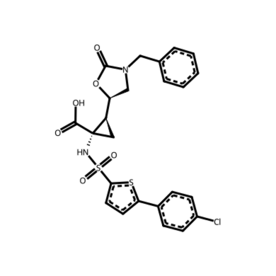 O=C1O[C@H]([C@H]2C[C@@]2(NS(=O)(=O)c2ccc(-c3ccc(Cl)cc3)s2)C(=O)O)CN1Cc1ccccc1